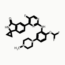 CN1CCN(c2ccc(OC(F)F)c(Nc3ncc(F)c(-c4ccc5c(c4)C(=O)NC54CC4)n3)c2)CC1